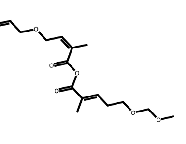 C=CCOCC=C(C)C(=O)OC(=O)C(C)=CCCOCOC